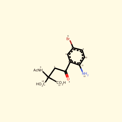 CC(=O)NC(CC(=O)c1cc(Br)ccc1N)(C(=O)O)C(=O)O